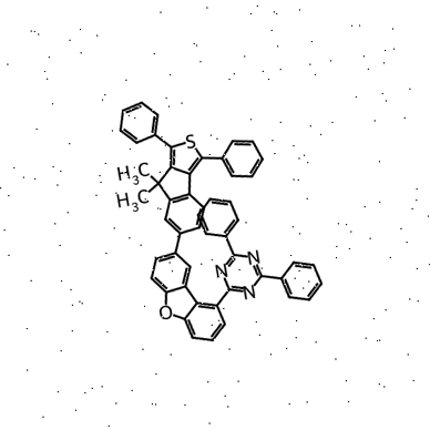 CC1(C)c2cc(-c3ccc4oc5cccc(-c6nc(-c7ccccc7)nc(-c7ccccc7)n6)c5c4c3)ccc2-c2c(-c3ccccc3)sc(-c3ccccc3)c21